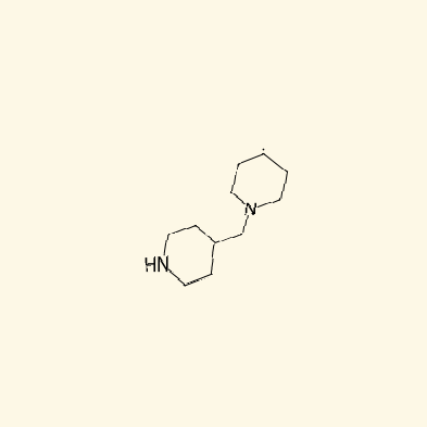 [CH]1CCN(CC2CCNCC2)CC1